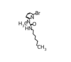 CCCCCCCNC(=O)N(C)c1cccc(Br)n1